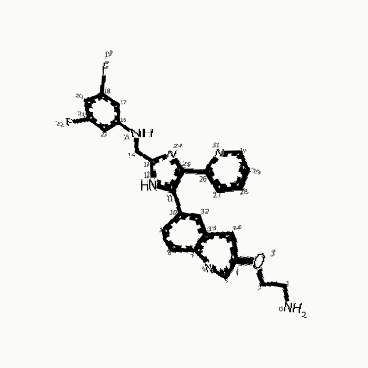 NCCOc1cnc2ccc(-c3[nH]c(CNc4cc(F)cc(F)c4)nc3-c3ccccn3)cc2c1